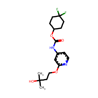 CC(C)(O)CCOc1cc(NC(=O)OC2CCC(F)(F)CC2)ccn1